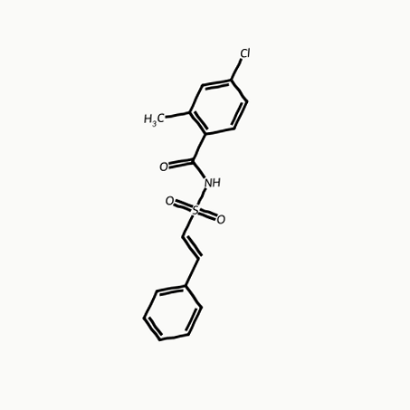 Cc1cc(Cl)ccc1C(=O)NS(=O)(=O)/C=C/c1ccccc1